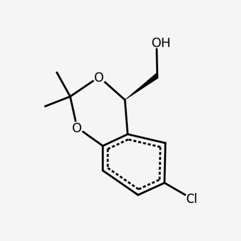 CC1(C)Oc2ccc(Cl)cc2[C@H](CO)O1